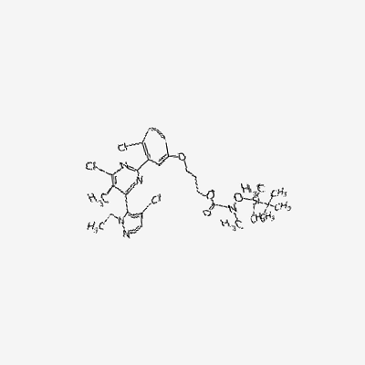 CCn1ncc(Cl)c1-c1nc(-c2cc(OCCCOC(=O)N(C)O[Si](C)(C)C(C)(C)C)ccc2Cl)nc(Cl)c1C